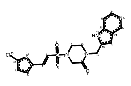 O=C1CN(S(=O)(=O)/C=C/c2ccc(Cl)s2)CCN1Cc1cc2cnccc2[nH]1